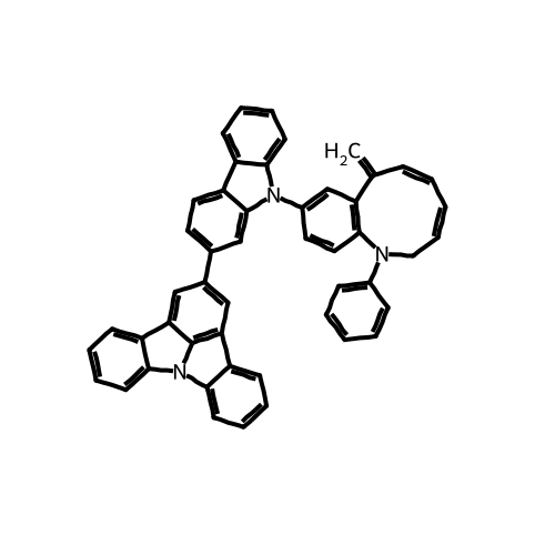 C=C1/C=C\C=C/CN(c2ccccc2)c2ccc(-n3c4ccccc4c4ccc(-c5cc6c7ccccc7n7c8ccccc8c(c5)c67)cc43)cc21